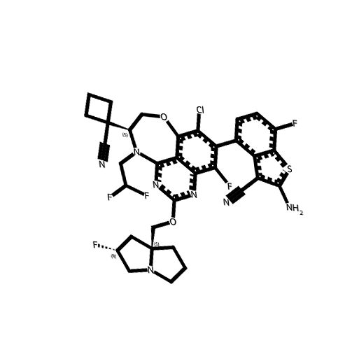 N#Cc1c(N)sc2c(F)ccc(-c3c(Cl)c4c5c(nc(OC[C@@]67CCCN6C[C@H](F)C7)nc5c3F)N(CC(F)F)[C@@H](C3(C#N)CCC3)CO4)c12